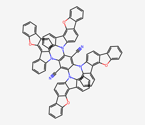 N#Cc1c(-n2c3ccccc3c3c4oc5ccccc5c4ccc32)c(-n2c3ccccc3c3c4oc5ccccc5c4ccc32)c(C#N)c(-n2c3ccccc3c3c4oc5ccccc5c4ccc32)c1-n1c2ccccc2c2c3oc4ccccc4c3ccc21